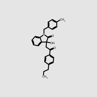 CCCc1ccc(C(=O)CC2(O)C(=O)N(Cc3ccc(C)cc3)c3ccccc32)cc1